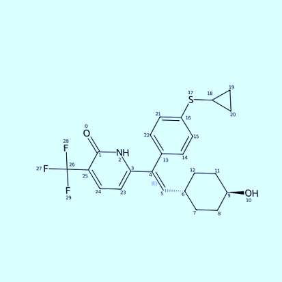 O=c1[nH]c(/C(=C/[C@H]2CC[C@H](O)CC2)c2ccc(SC3CC3)cc2)ccc1C(F)(F)F